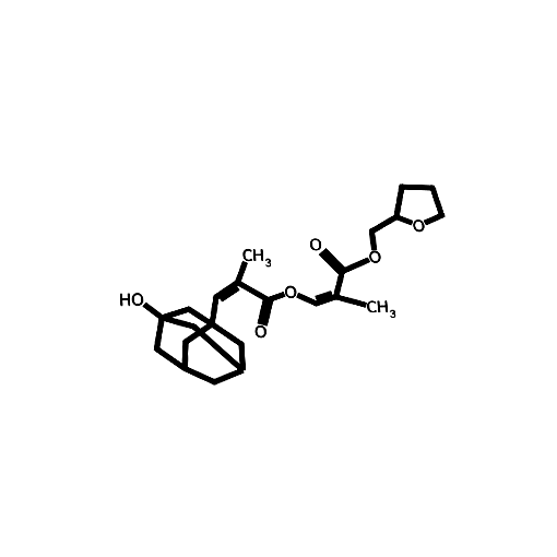 CC(=CC12CC3CC(CC(O)(C3)C1)C2)C(=O)OC=C(C)C(=O)OCC1CCCO1